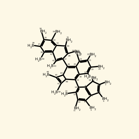 BC1=C(B)C(B)c2c1c(B)c(B)c(B)c2C1=c2c(B)c(B)c(B)c(B)c2=C(c2c(B)c(B)c3c(B)c(B)c(B)c(B)c3c2B)C2C(B)=C(B)C12